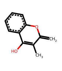 C=C1Oc2ccccc2C(O)=C1C